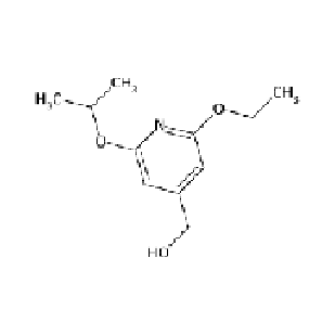 CCOc1cc(CO)cc(OC(C)C)n1